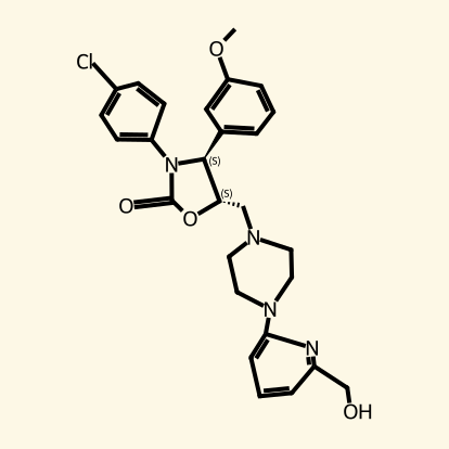 COc1cccc([C@H]2[C@H](CN3CCN(c4cccc(CO)n4)CC3)OC(=O)N2c2ccc(Cl)cc2)c1